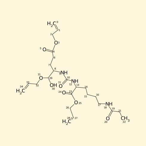 C=CCOC(=O)CCC(NC(=O)NC(CCCCNC(=O)CC)C(=O)OCC=C)C(O)OCC=C